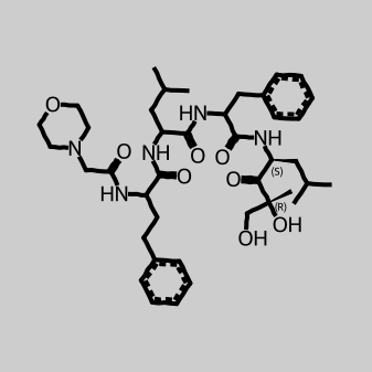 CC(C)CC(NC(=O)C(CCc1ccccc1)NC(=O)CN1CCOCC1)C(=O)NC(Cc1ccccc1)C(=O)N[C@@H](CC(C)C)C(=O)[C@](C)(O)CO